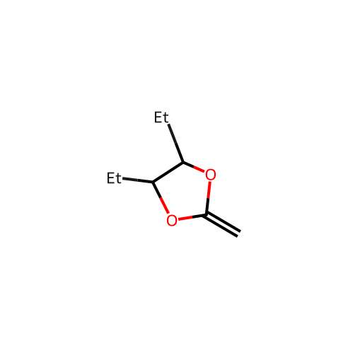 C=C1OC(CC)C(CC)O1